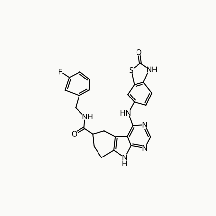 O=C(NCc1cccc(F)c1)C1CCc2[nH]c3ncnc(Nc4ccc5[nH]c(=O)sc5c4)c3c2C1